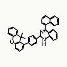 CC1(C)c2ccccc2Oc2cccc(-c3ccc(C4N=C(c5cccc6ccccc56)c5ccccc5N4)cc3)c21